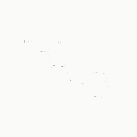 NC(CO)CSCC1=CC=CCC1